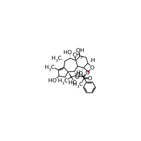 CC(=O)O[C@@]12CO[C@@H]1C[C@H](O)[C@]1(C)[C@@H]2[C@H](OC(=O)c2ccccc2)[C@]2(C(C)(C)O)CC(O)C(C)=C2[C@H](C)[C@@H]1O